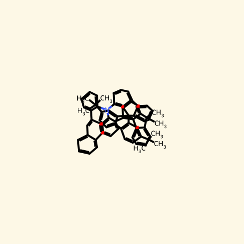 CC(C)(C)c1ccc2c(c1)C1(c3cc(C(C)(C)C)ccc3-2)c2ccccc2-c2cccc(N(c3ccccc3-c3ccc4ccccc4c3)c3ccccc3-c3cccc4c3-c3ccccc3C4(C)C)c21